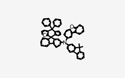 CC1(C)c2ccccc2-c2ccc(N(c3ccc4c(c3)C3(c5ccccc5-4)c4ccccc4C(c4ccccc4)(c4ccccc4)c4ccccc43)c3ccc4oc5ccccc5c4c3)cc21